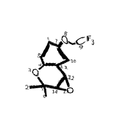 CC1(C)Oc2ccc(OC(F)(F)F)cc2C2OC21